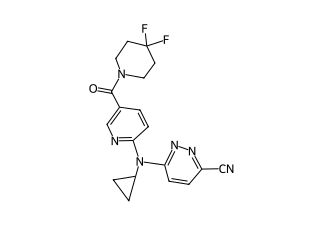 N#Cc1ccc(N(c2ccc(C(=O)N3CCC(F)(F)CC3)cn2)C2CC2)nn1